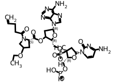 C=CCCC(=O)N1CC(OCC)C[C@H]1C(=O)OC1C[C@H](n2cnc3c(N)ncnc32)O[C@@H]1COP(=O)(O)[C@]1(C)C[C@H](n2ccc(N)nc2=O)O[C@@H]1CO[PH](=O)O